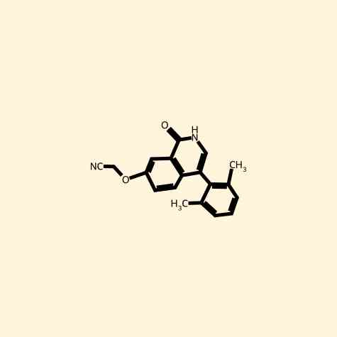 Cc1cccc(C)c1-c1c[nH]c(=O)c2cc(OCC#N)ccc12